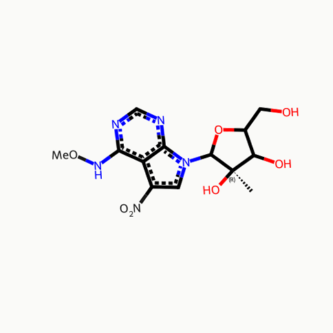 CONc1ncnc2c1c([N+](=O)[O-])cn2C1OC(CO)C(O)[C@@]1(C)O